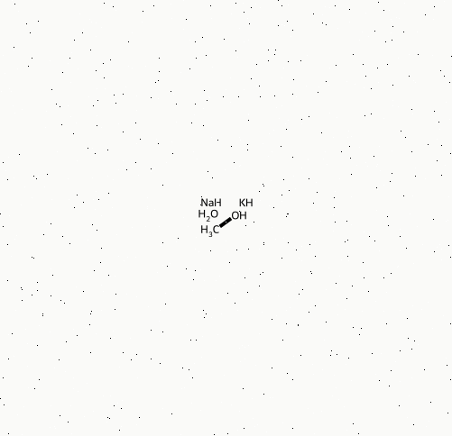 CO.O.[KH].[NaH]